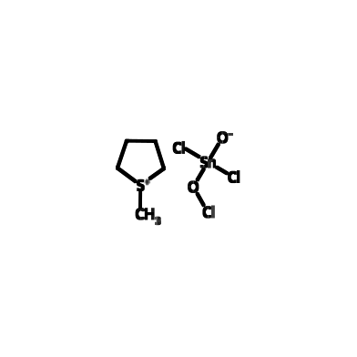 C[S+]1CCCC1.[O-][Sn]([Cl])([Cl])[O]Cl